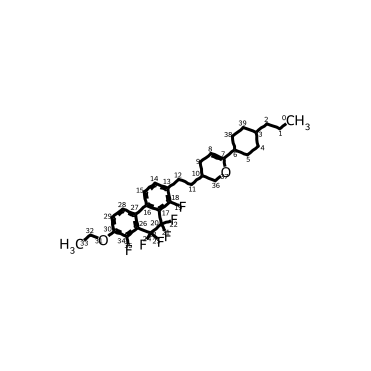 CCCC1CCC(C2=CCC(CCc3ccc4c(c3F)C(F)(F)C(F)(F)c3c-4ccc(OCC)c3F)CO2)CC1